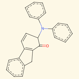 O=C1C2=C(C=CC1N(c1ccccc1)c1ccccc1)c1ccccc1C2